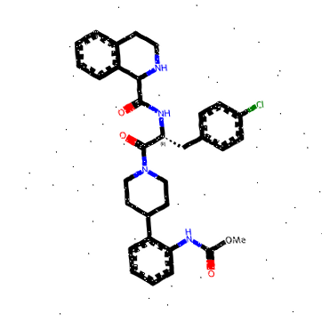 COC(=O)Nc1ccccc1C1CCN(C(=O)[C@@H](Cc2ccc(Cl)cc2)NC(=O)C2N[CH]Cc3ccccc32)CC1